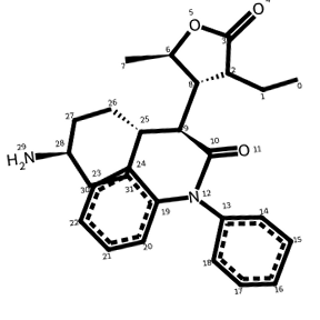 CCC1C(=O)O[C@H](C)[C@H]1[C@@H](C(=O)N(c1ccccc1)c1ccccc1)[C@H]1CC[C@H](N)CC1